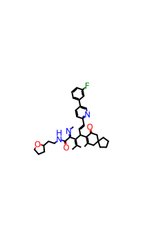 C/N=C(/C(=O)NCCC1CCCO1)C(=C(C)C)C(/C=C/c1ccc(-c2cccc(F)c2)cn1)C1=C(C)CC2(CCCC2)CC1=O